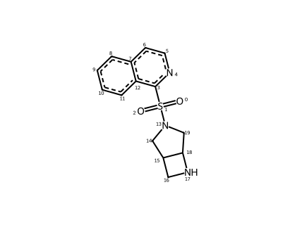 O=S(=O)(c1nccc2ccccc12)N1CC2CNC2C1